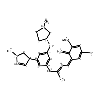 C=c1c(OC)cc(Br)c/c1=C/N=C(\C)Nc1cc(O[C@@H]2CCN(C)C2)cc(C2C=NN(C)C2)c1